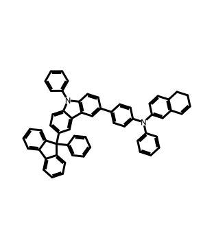 C1=Cc2cc(N(c3ccccc3)c3ccc(-c4ccc5c(c4)c4cc(C6(c7ccccc7)c7ccccc7-c7ccccc76)ccc4n5-c4ccccc4)cc3)ccc2CC1